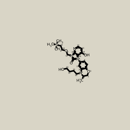 CC1COc2ccc(-n3c(=O)n(COCC[Si](C)(C)C)c4nccc(O)c43)cc2N1CCCCO